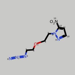 [N-]=[N+]=NCCOCCn1nccc1[N+](=O)[O-]